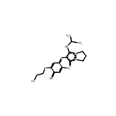 CC(C)Nc1c(/N=C2/C=C(OCCO)C(=N)C=C2N)c(=O)n2n1CCC2